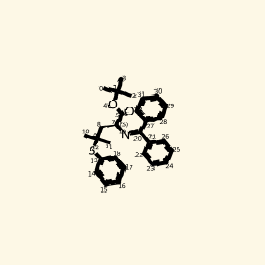 CC(C)(C)OC(=O)[C@H](CC(C)(C)Sc1ccccc1)N=C(c1ccccc1)c1ccccc1